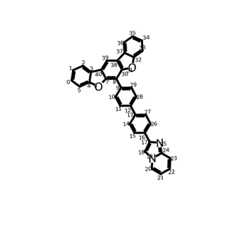 c1ccc2c(c1)oc1c(-c3ccc(-c4ccc(-c5cn6ccccc6n5)cc4)cc3)c3oc4ccccc4c3cc12